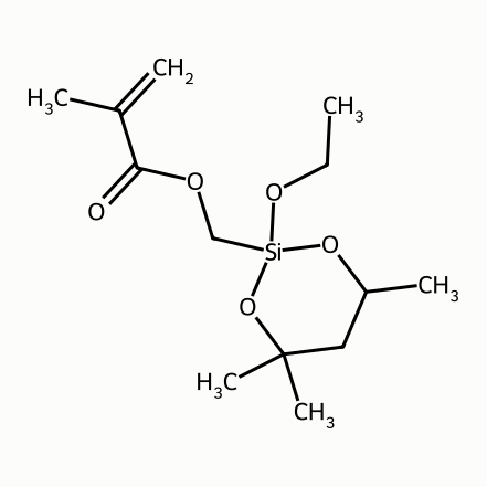 C=C(C)C(=O)OC[Si]1(OCC)OC(C)CC(C)(C)O1